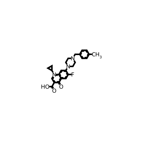 Cc1ccc(CN2CCN(c3cc4c(cc3F)c(=O)c(C(=O)O)cn4C3CC3)CC2)cc1